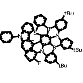 CC(C)(C)c1ccc2c(c1)B1c3ccccc3Sc3c1c1c4c(c3-c3cccc5c3c3ccccc3n5-c3ccccc3)N(c3c(F)cccc3F)c3ccc(C(C)(C)C)cc3B4c3cc(C(C)(C)C)ccc3N21